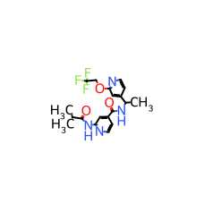 CC(C)C(=O)Nc1cc(C(=O)NC(C)c2ccnc(OCC(F)(F)F)c2)ccn1